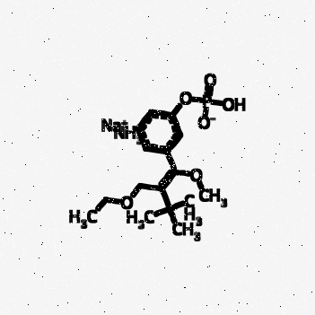 CCOCC(=C(OC)c1cccc(OP(=O)([O-])O)c1)C(C)(C)C.N.[Na+]